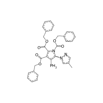 Cc1cnn(-c2c(P)c(C(=O)OCc3ccccc3)c(C(=O)OCc3ccccc3)n2C(=O)OCc2ccccc2)c1